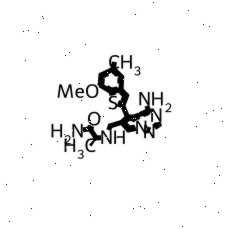 COc1cc(C)cc2cc(-c3c(CN[C@@H](C)C(N)=O)cn4ncnc(N)c34)sc12